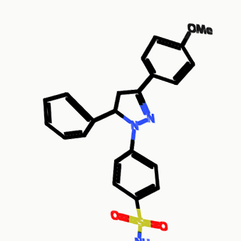 COc1ccc(C2=NN(c3ccc(S(N)(=O)=O)cc3)C(c3ccccc3)C2)cc1